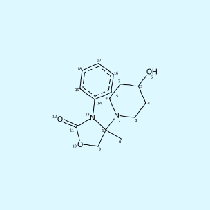 CC1(N2CCC(O)CC2)COC(=O)N1c1ccccc1